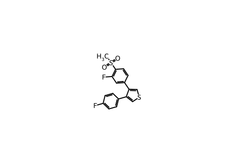 CS(=O)(=O)c1ccc(-c2cscc2-c2ccc(F)cc2)cc1F